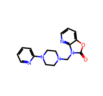 O=c1oc2cccnc2n1CN1CCN(c2ccccn2)CC1